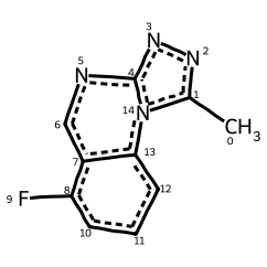 Cc1nnc2ncc3c(F)cccc3n12